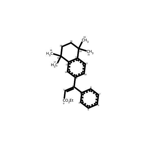 CCOC(=O)C=C(c1ccccc1)c1ccc2c(c1)C(C)(C)CCC2(C)C